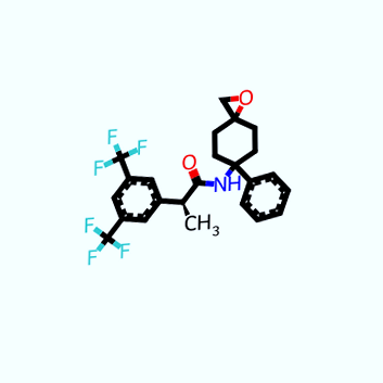 C[C@H](C(=O)NC1(c2ccccc2)CCC2(CC1)CO2)c1cc(C(F)(F)F)cc(C(F)(F)F)c1